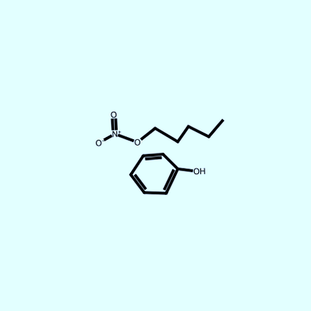 CCCCCO[N+](=O)[O-].Oc1ccccc1